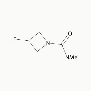 CNC(=O)N1CC(F)C1